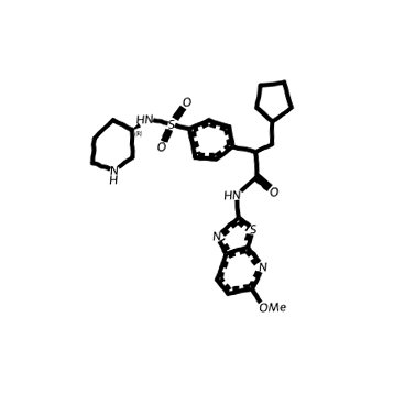 COc1ccc2nc(NC(=O)C(CC3CCCC3)c3ccc(S(=O)(=O)N[C@@H]4CCCNC4)cc3)sc2n1